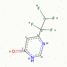 O=c1cc(C(F)(F)C(F)F)nc[nH]1